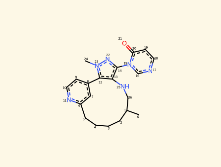 CC1CCCCc2cc(ccn2)-c2c(c(-n3cnccc3=O)nn2C)NC1